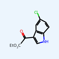 CCOC(=O)C(=O)c1c[nH]c2ccc(Cl)cc12